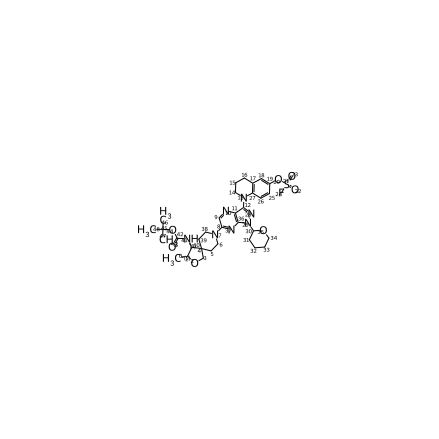 C[C@@H]1OCC2(CCN(c3cnc4c(N5CCCc6cc(OS(=O)(=O)F)ccc65)nn(C5CCCCO5)c4n3)CC2)[C@@H]1NC(=O)OC(C)(C)C